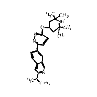 CC(C)c1cc2ccc(-c3ccc(OC4CC(C)(C)NC(C)(C)C4)nn3)cc2cn1